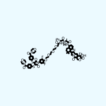 CC[C@@]1(O)C(=O)OCc2c1cc1n(c2=O)Cc2c-1nc1ccc(NC(=O)[C@H](C)NC(=O)[C@@H](NC(=O)COCCOCCOCCOc3c(F)cc(N4C(=O)C(Sc5ccc(C(=O)N6CCOCC6)cc5)=C(Sc5ccc(C(=O)N6CCOCC6)cc5)C4=O)cc3F)C(C)C)c3c1c2C(C)(C)CC3